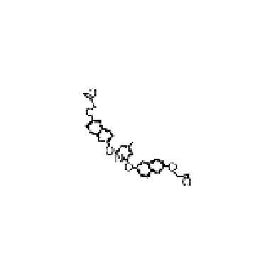 Cc1cc(Oc2ccc3cc(OCC4CO4)ccc3c2)nc(Oc2ccc3cc(OCC4CO4)ccc3c2)c1